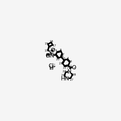 O=C(c1ccc(-c2cccc(NS(=O)(=O)CC3CCC3)c2)cc1)N1CCNCC1.[Cl-].[H+]